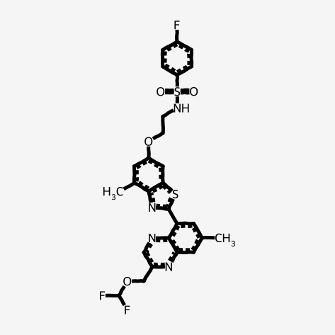 Cc1cc(-c2nc3c(C)cc(OCCNS(=O)(=O)c4ccc(F)cc4)cc3s2)c2ncc(COC(F)F)nc2c1